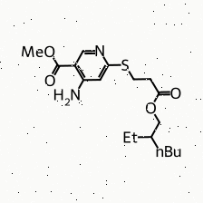 CCCCC(CC)COC(=O)CCSc1cc(N)c(C(=O)OC)cn1